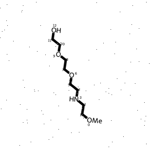 COCCNCCOCCOCCO